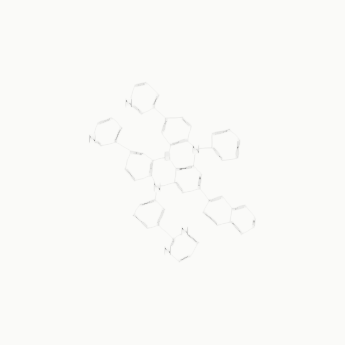 c1ccc(N2c3ccc(-c4cccnc4)cc3B3c4cc(-c5cccnc5)ccc4N(c4cccc(-c5ncccn5)c4)c4cc(-c5ccc6ccccc6c5)cc2c43)cc1